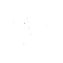 CC(C)(C)OC(=O)CN1CCCC1c1cc(Cl)ccc1CN1CCN(C(=O)O)CC1C(C(F)(F)F)C(F)(F)F